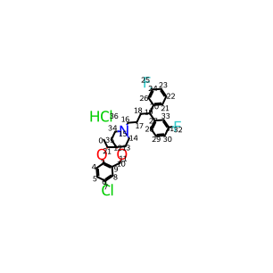 CC1Oc2ccc(Cl)cc2COC12CCN(CCCC(c1cccc(F)c1)c1cccc(F)c1)CC2.Cl